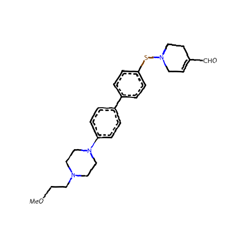 COCCN1CCN(c2ccc(-c3ccc(SN4CC=C(C=O)CC4)cc3)cc2)CC1